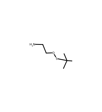 CC(C)(C)SOCCN